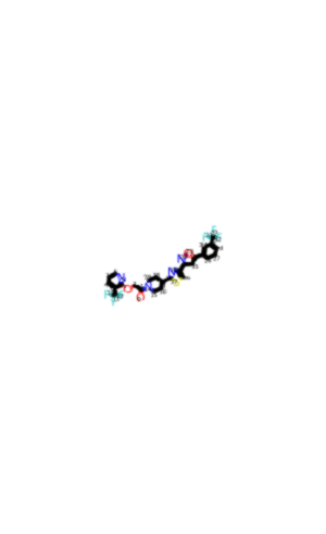 O=C(COc1ncccc1C(F)(F)F)N1CCC(c2nc(C3=NOC(c4cccc(C(F)(F)F)c4)C3)cs2)CC1